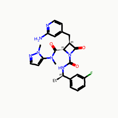 CC[C@@H](NC(=O)N1C(=O)[C@H](Cc2ccnc(N)c2)[C@H]1C(=O)N(C)c1ccnn1C)c1cccc(F)c1